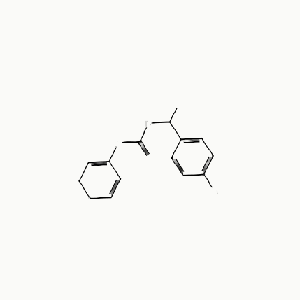 CC(NC(=S)NC1=CC[CH]C=C1)c1ccc(Br)cc1